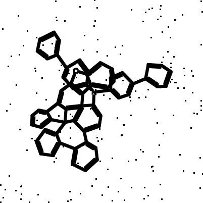 c1ccc(-c2ccc(N(c3ccc(-c4ccccc4)cc3)c3ccc4c(c3)C3(c5ccccc5-c5ccccc5-4)c4ccccc4-c4cc5oc6ccccc6c5cc43)cc2)cc1